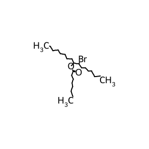 CCCCCCCCC(OC(=O)CCCCCCC)C(Br)CCCCCCC